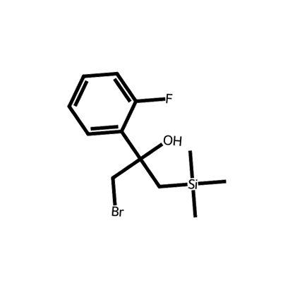 C[Si](C)(C)CC(O)(CBr)c1ccccc1F